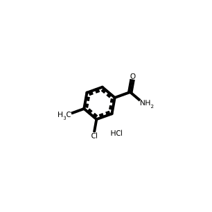 Cc1ccc(C(N)=O)cc1Cl.Cl